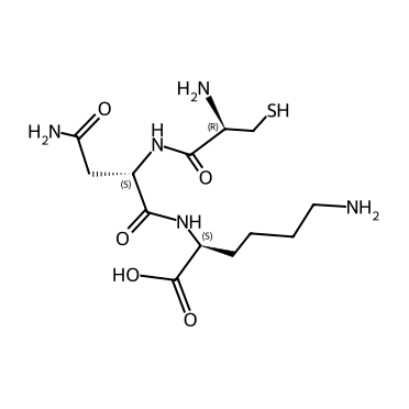 NCCCC[C@H](NC(=O)[C@H](CC(N)=O)NC(=O)[C@@H](N)CS)C(=O)O